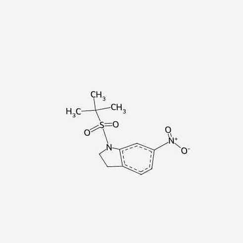 CC(C)(C)S(=O)(=O)N1CCc2ccc([N+](=O)[O-])cc21